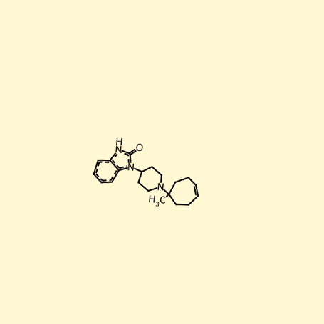 CC1(N2CCC(n3c(=O)[nH]c4ccccc43)CC2)CCC=CCC1